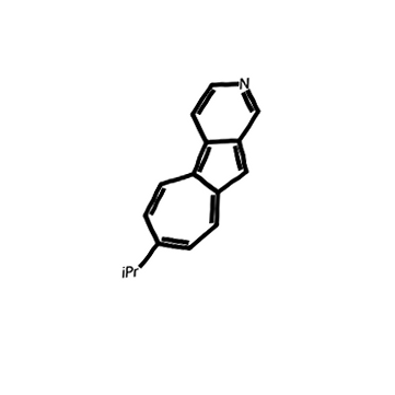 CC(C)c1ccc2cc3cnccc3c-2cc1